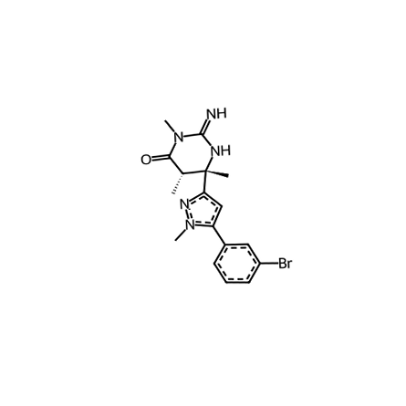 C[C@@H]1C(=O)N(C)C(=N)N[C@]1(C)c1cc(-c2cccc(Br)c2)n(C)n1